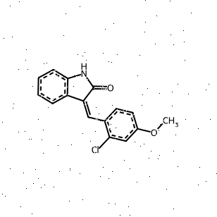 COc1ccc(C=C2C(=O)Nc3ccccc32)c(Cl)c1